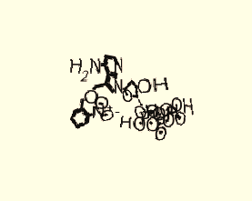 Nc1ccnc2c1c(COCc1ccccc1[N+](=O)[O-])cn2[C@H]1CC(O)[C@@H](COP(=O)(O)OP(=O)(O)OP(=O)(O)O)O1